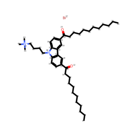 CCCCCCCCCCCC(=O)c1ccc2c(c1)c1cc(C(=O)CCCCCCCCCCC)ccc1n2CCCC[N+](C)(C)C.[Br-]